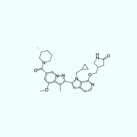 COc1cc(C(=O)N2CCC[C@@H](C)C2)cn2nc(-c3cc4ccnc(OCC5CNC(=O)C5)c4n3CC3CC3)c(C)c12